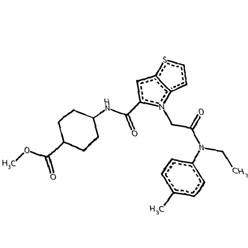 CCN(C(=O)Cn1c(C(=O)NC2CCC(C(=O)OC)CC2)cc2sccc21)c1ccc(C)cc1